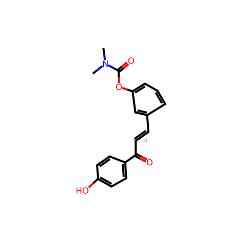 CN(C)C(=O)Oc1cccc(/C=C/C(=O)c2ccc(O)cc2)c1